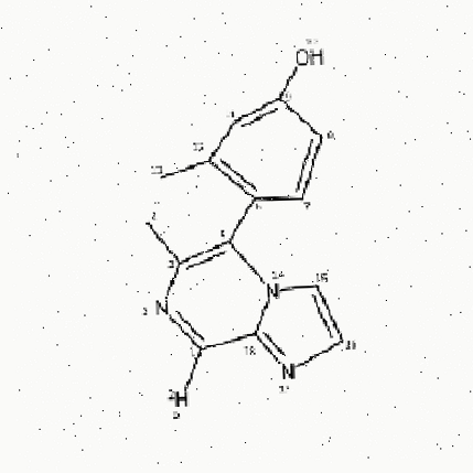 [2H]c1nc(C)c(-c2ccc(O)cc2C)n2ccnc12